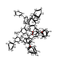 N#Cc1cc(-c2nc(-c3ccccc3)nc(-c3ccccc3)n2)c(-n2c3ccc(-c4ccccc4)cc3c3cc(-c4ccccc4)ccc32)c(-n2c3ccc(-c4ccccc4)cc3c3cc(-c4ccccc4)ccc32)c1-n1c2ccc(-c3ccccc3)cc2c2cc(-c3ccccc3)ccc21